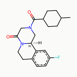 CC1CCC(C(=O)N2CC(=O)N3CCc4ccc(F)cc4[C@@H]3C2)CC1